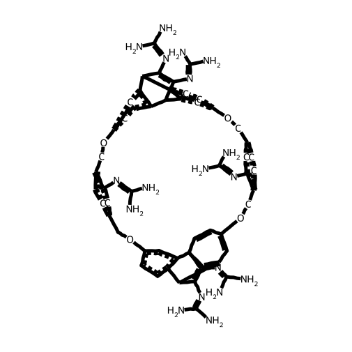 NC(N)=NC1=C(N=C(N)N)C23C=CC4=CC(=C2)C1c1ccc(cc13)OCc1ccc(c(N=C(N)N)c1)COc1ccc2c(c1)C1C(N=C(N)N)=C(N=C(N)N)C2c2cc(ccc21)OCc1ccc(c(N=C(N)N)c1)CO4